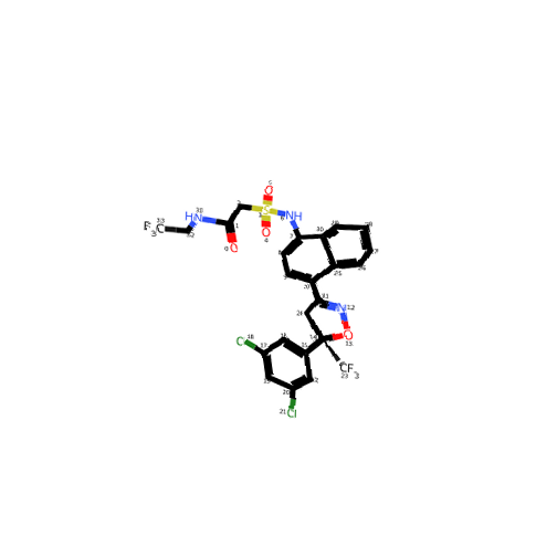 O=C(CS(=O)(=O)Nc1ccc(C2=NO[C@@](c3cc(Cl)cc(Cl)c3)(C(F)(F)F)C2)c2ccccc12)NCC(F)(F)F